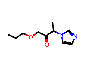 CCCOCC(=O)C(C)n1ccnc1